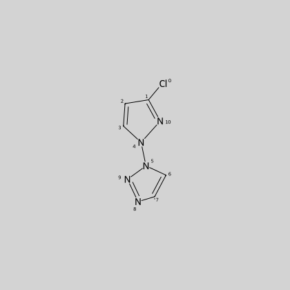 Clc1ccn(-n2c[c]nn2)n1